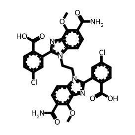 COc1c(C(N)=O)ccc2c1nc(-c1cc(Cl)ccc1C(=O)O)n2CCn1c(-c2cc(Cl)ccc2C(=O)O)nc2c(OC)c(C(N)=O)ccc21